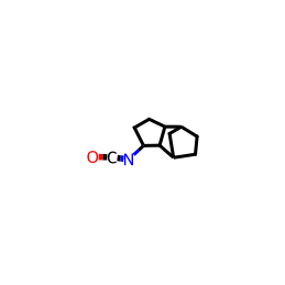 O=C=NC1CCC2C3CCC(C3)C12